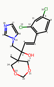 CC1(C(O)(C=Cc2ccc(Cl)cc2Cl)Cn2ccnc2)COCOC1